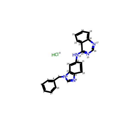 Cl.c1ccc(Cn2cnc3ccc(Nc4ncnc5ccccc45)cc32)cc1